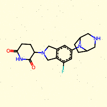 O=C1CCC(N2Cc3cc(N4C5CCC4CNC5)cc(F)c3C2)C(=O)N1